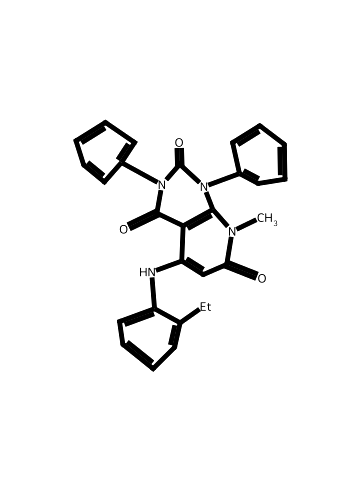 CCc1ccccc1Nc1cc(=O)n(C)c2c1c(=O)n(-c1ccccc1)c(=O)n2-c1ccccc1